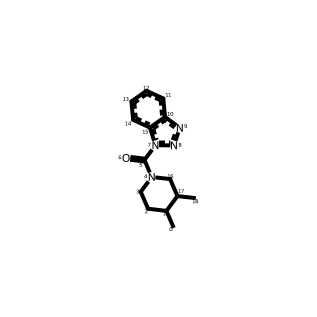 CC1CCN(C(=O)n2nnc3ccccc32)CC1C